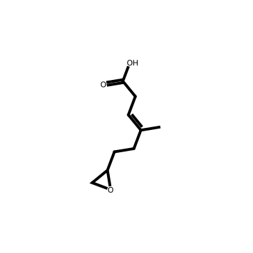 CC(=CCC(=O)O)CCC1CO1